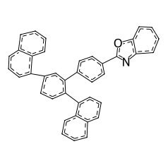 c1ccc2c(-c3ccc(-c4cccc5ccccc45)c(-c4ccc(-c5nc6ccccc6o5)cc4)c3)cccc2c1